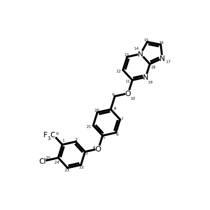 FC(F)(F)c1cc(Oc2ccc(COc3ccn4ccnc4n3)cc2)ccc1Cl